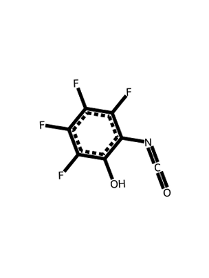 O=C=Nc1c(O)c(F)c(F)c(F)c1F